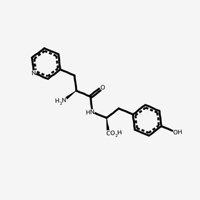 N[C@@H](Cc1cccnc1)C(=O)N[C@@H](Cc1ccc(O)cc1)C(=O)O